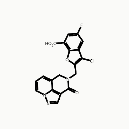 O=C(O)c1cc(F)cc2c(Cl)c(CN3Cc4cccn5ncc(c45)C3=O)oc12